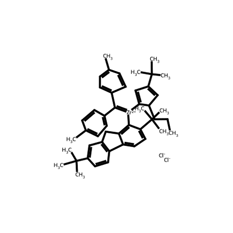 CCCC1C=C(C(C)(C)C)C=[C]1[Zr+2](=[C](c1ccc(C)cc1)c1ccc(C)cc1)[c]1c(C(C)(C)C)ccc2c1Cc1cc(C(C)(C)C)ccc1-2.[Cl-].[Cl-]